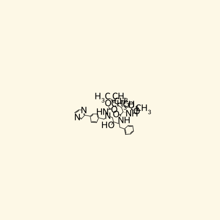 CC[C@H](C)[C@H](NC(=O)OC)C(=O)NC(Cc1ccccc1)C(O)CN(Cc1ccc(-c2cnccn2)cc1)NC(=O)OC(C)(C)C